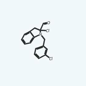 O=CC1(Cl)Cc2ccccc2N1Cc1cccc(Cl)c1